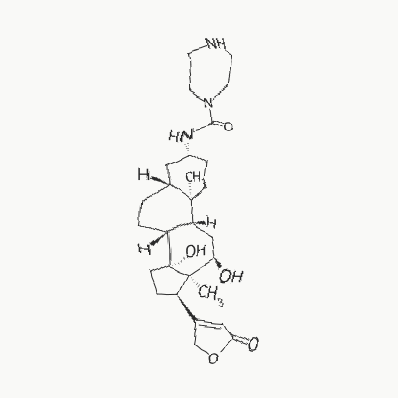 C[C@@]12CC[C@@H](NC(=O)N3CCNCC3)C[C@H]1CC[C@@H]1[C@H]2C[C@@H](O)[C@@]2(C)[C@@H](C3=CC(=O)OC3)CC[C@@]12O